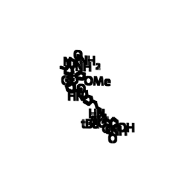 COc1cccc(Nc2c(C(N)=O)cnc3c(C)cc(S(=O)(=O)c4cccc(C(=O)Nc5ccc(CCCNC[C@H](O[Si](C)(C)C(C)(C)C)c6ccc(O)c7c6OCC(=O)N7)cc5C)c4)cc23)c1